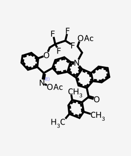 CC(=O)OCCn1c2ccc(/C(=N\OC(C)=O)c3ccccc3OCC(F)(F)C(F)F)cc2c2cc(C(=O)c3c(C)cc(C)cc3C)c3ccccc3c21